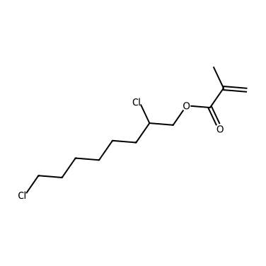 C=C(C)C(=O)OCC(Cl)CCCCCCCl